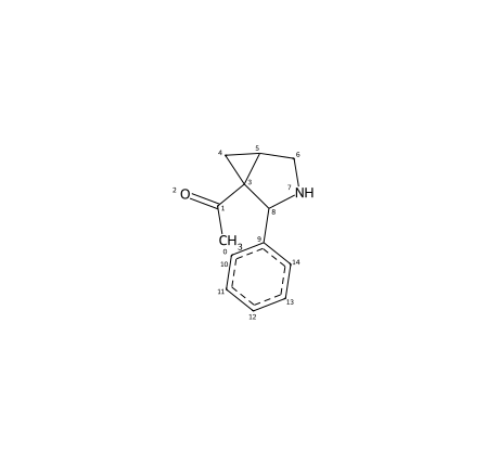 CC(=O)C12CC1CNC2c1ccccc1